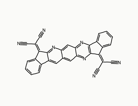 N#CC(C#N)=C1c2ccccc2-c2cc3cc4nc5c(nc4cc3nc21)-c1ccccc1C5=C(C#N)C#N